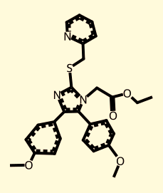 CCOC(=O)Cn1c(SCc2ccccn2)nc(-c2ccc(OC)cc2)c1-c1ccc(OC)cc1